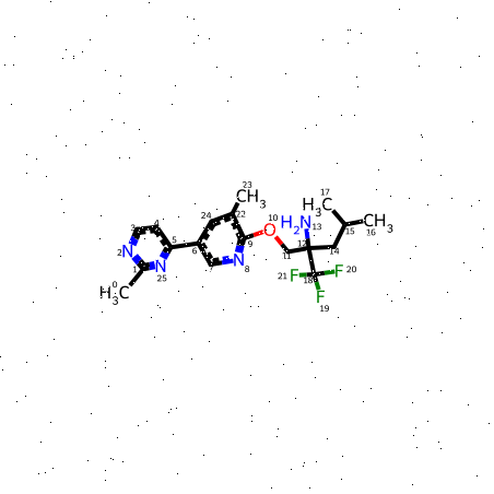 Cc1nccc(-c2cnc(OCC(N)(CC(C)C)C(F)(F)F)c(C)c2)n1